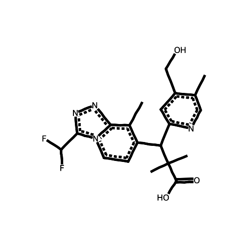 Cc1cnc(C(c2ccn3c(C(F)F)nnc3c2C)C(C)(C)C(=O)O)cc1CO